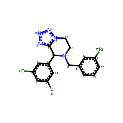 Fc1cc(F)cc(C2c3nnnn3CCN2Cc2cccc(Br)c2)c1